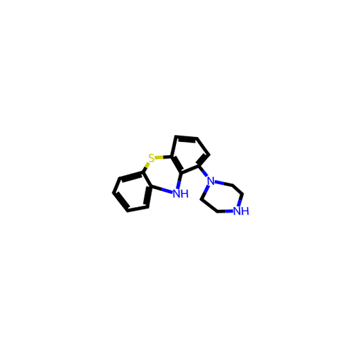 c1ccc2c(c1)Nc1c(cccc1N1CCNCC1)S2